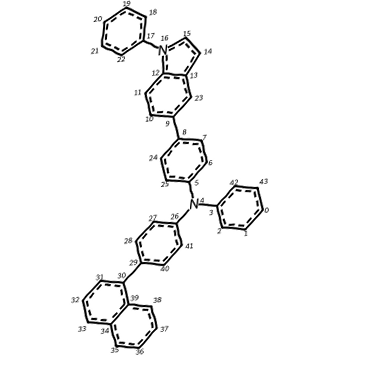 c1ccc(N(c2ccc(-c3ccc4c(ccn4-c4ccccc4)c3)cc2)c2ccc(-c3cccc4ccccc34)cc2)cc1